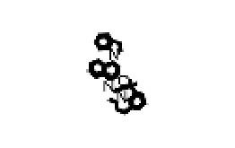 CC1CCc2cccc3c2N1C1(C=Nc2c(cc(N4CCc5ccccc54)c4ccccc24)O1)C3(C)C